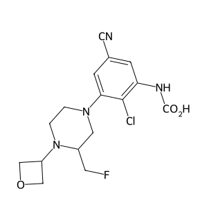 N#Cc1cc(NC(=O)O)c(Cl)c(N2CCN(C3COC3)C(CF)C2)c1